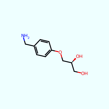 NCc1ccc(OC[C@@H](O)CO)cc1